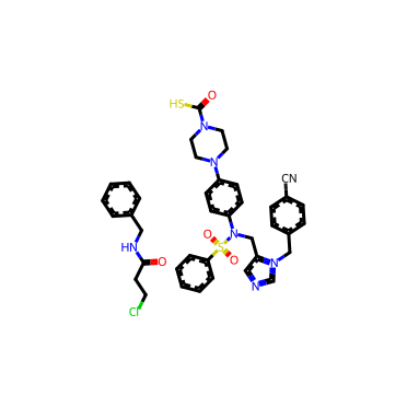 N#Cc1ccc(Cn2cncc2CN(c2ccc(N3CCN(C(=O)S)CC3)cc2)S(=O)(=O)c2ccccc2)cc1.O=C(CCCl)NCc1ccccc1